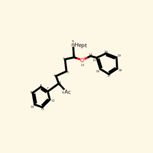 CCCCCCCC(CCCC(C(C)=O)c1ccccc1)OCc1ccccc1